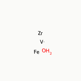 O.[Fe].[V].[Zr]